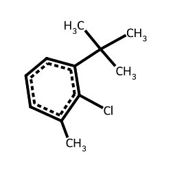 Cc1cccc(C(C)(C)C)c1Cl